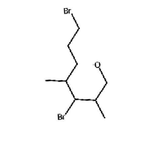 CC(C[O])C(Br)C(C)CCCBr